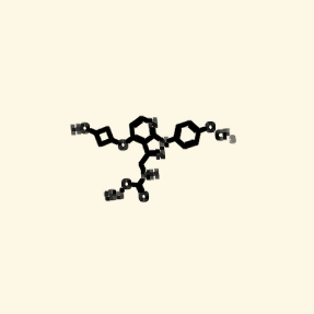 CC(C)(C)OC(=O)NCc1nn(-c2ccc(OC(F)(F)F)cc2)c2nccc(OC3CC(O)C3)c12